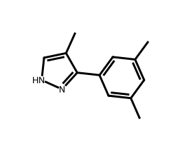 Cc1cc(C)cc(-c2n[nH]cc2C)c1